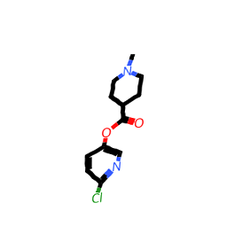 CN1CCC(C(=O)Oc2ccc(Cl)nc2)CC1